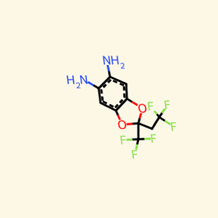 Nc1cc2c(cc1N)OC(CC(F)(F)F)(C(F)(F)F)O2